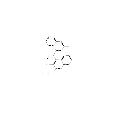 CS(=O)(=O)Oc1c(C(=O)O)cc2ccccc2c1Cc1c(O)c(C(=O)O)cc2ccccc12